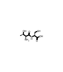 C[C@@H](O)[C@H](N)C(=O)N[C@@H](CS)C(=O)O